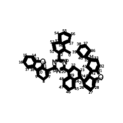 Cc1c(-c2nc(C3=CCCc4c3oc3ccccc43)nc(-c3ccc(-c4cccc5oc6ccc(-c7ccccc7)cc6c45)c4ccccc34)n2)ccc2ccccc12